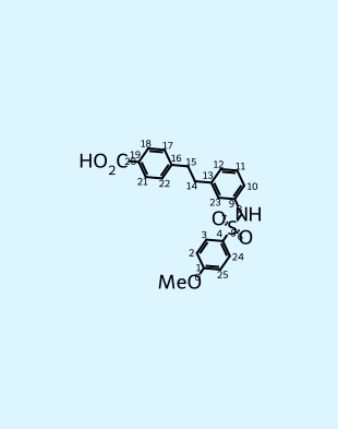 COc1ccc(S(=O)(=O)Nc2cccc(CCc3ccc(C(=O)O)cc3)c2)cc1